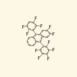 Fc1cc2c(-c3c(F)c(F)cc(F)c3F)c3ccccc3c(-c3c(F)c(F)c(F)c(F)c3F)c2cc1F